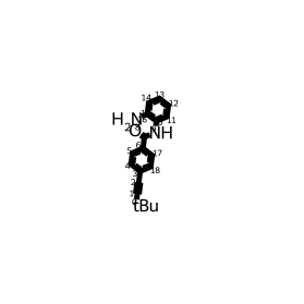 CC(C)(C)C#Cc1ccc(C(=O)Nc2ccccc2N)cc1